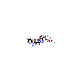 COCCN(C)C(=O)c1c[nH]c2cc(CC(=O)Nc3ccc(F)cn3)nn2c1=O